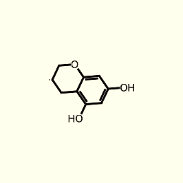 Oc1cc(O)c2c(c1)OC[CH]C2